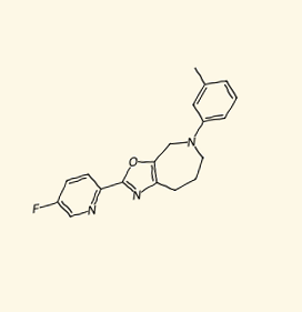 Cc1cccc(N2CCCc3nc(-c4ccc(F)cn4)oc3C2)c1